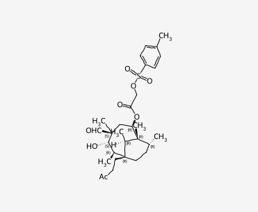 CC(=O)CC[C@]12CC[C@@H](C)[C@](C)([C@@H]1C)[C@H](OC(=O)COS(=O)(=O)c1ccc(C)cc1)C[C@](C)(C=O)[C@@H](O)[C@@H]2C